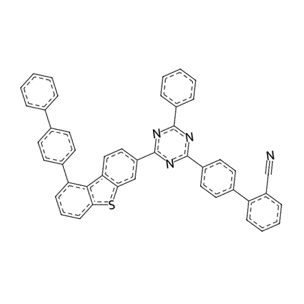 N#Cc1ccccc1-c1ccc(-c2nc(-c3ccccc3)nc(-c3ccc4c(c3)sc3cccc(-c5ccc(-c6ccccc6)cc5)c34)n2)cc1